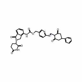 O=C1CCC(N2Cc3c(NC(=O)OCc4ccc(/N=C/C5C(=O)CC(c6ccccc6)CC5=O)nc4)cccc3C2=O)C(=O)N1